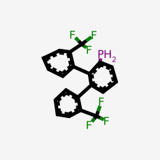 FC(F)(F)c1ccccc1-c1cccc(P)c1-c1ccccc1C(F)(F)F